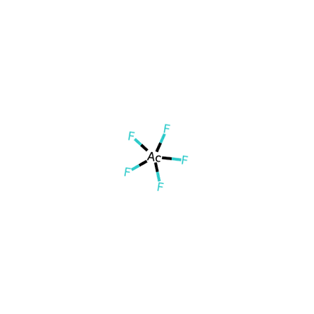 [F][Ac]([F])([F])([F])[F]